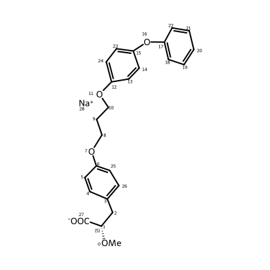 CO[C@@H](Cc1ccc(OCCCOc2ccc(Oc3ccccc3)cc2)cc1)C(=O)[O-].[Na+]